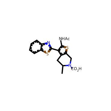 CC(=O)Nc1sc2c(c1-c1nc3ccccc3s1)CC(C)N(C(=O)O)C2